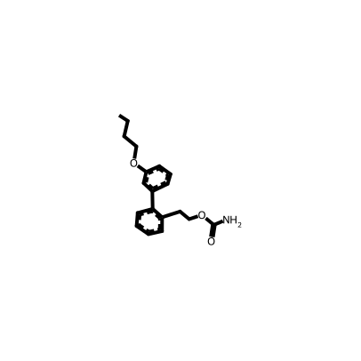 CCCCOc1cccc(-c2ccccc2CCOC(N)=O)c1